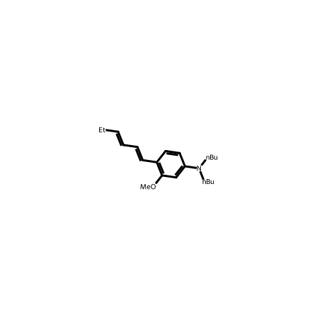 CC/C=C/C=C/c1ccc(N(CCCC)CCCC)cc1OC